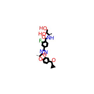 C[C@@H](Oc1ccc(C(=O)C2CC2)cc1)c1nc(-c2ccc(C(=O)N[C@H](C)[C@@H](O)CO)c(F)c2)no1